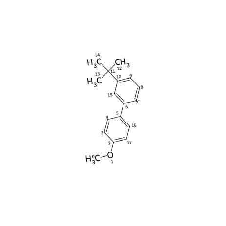 COc1ccc(-c2[c]ccc(C(C)(C)C)c2)cc1